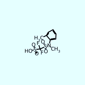 Cc1ccccc1N(C)S(=O)(=O)C(F)(F)S(=O)(=O)O